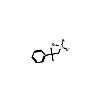 CC(C)([CH2][Hf]([Br])([Br])[Br])c1ccccc1